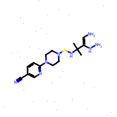 CC(C)(NSN1CCN(c2ccc(C#N)cn2)CC1)/C(=C/N)NN